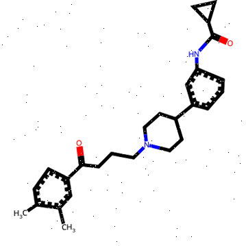 Cc1ccc(C(=O)CCCN2CCC(c3cccc(NC(=O)C4CC4)c3)CC2)cc1C